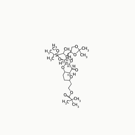 CO[Si](O[C@@H]1[C@@H]2OC3CCC(CCOC(=O)C(C)(C)C)O[C@@H]3C(=O)[C@@H]2O[C@@H]1CC1COC(C)(C)O1)(C(C)C)C(C)C